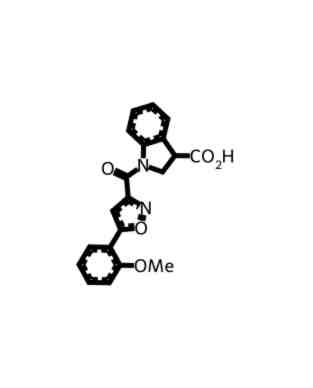 COc1ccccc1-c1cc(C(=O)N2CC(C(=O)O)c3ccccc32)no1